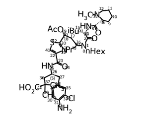 CCCCCCN(C(=O)[C@@H](NC(=O)[C@H]1CCCCN1C)[C@@H](C)CC)[C@H](C[C@@H](OC(C)=O)c1nc(C(=O)N[C@@H](Cc2ccc(N)c(Cl)c2)CC(C)(C)C(=O)O)cs1)C(C)C